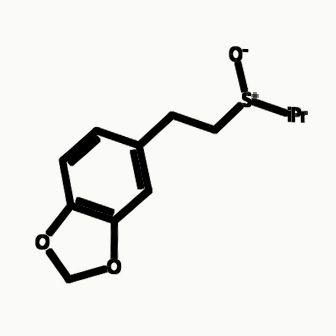 CC(C)[S+]([O-])CCc1ccc2c(c1)OCO2